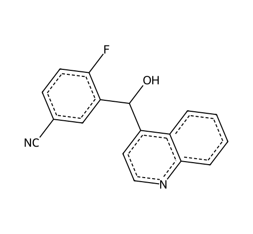 N#Cc1ccc(F)c(C(O)c2ccnc3ccccc23)c1